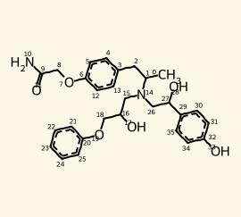 CC(Cc1ccc(OCC(N)=O)cc1)N(CC(O)COc1ccccc1)CC(O)c1ccc(O)cc1